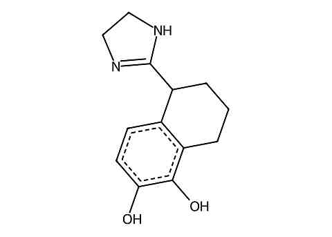 Oc1ccc2c(c1O)CCCC2C1=NCCN1